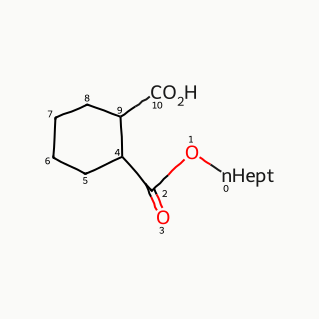 CCCCCCCOC(=O)C1CCCCC1C(=O)O